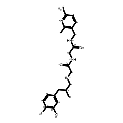 Cc1nc(N)ccc1CNC(=O)CNC(=O)CNCC(C)Cc1ccc(F)c(Cl)c1